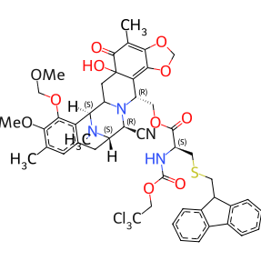 COCOc1c(OC)c(C)cc2c1[C@H]1C3CC4(O)C(=O)C(C)=C5OCOC5=C4[C@H](COC(=O)[C@@H](CSCC4c5ccccc5-c5ccccc54)NC(=O)OCC(Cl)(Cl)Cl)N3[C@@H](C#N)[C@H](C2)N1C